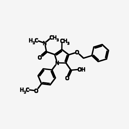 COc1ccc(-n2c(C(=O)N(C)C)c(C)c(OCc3ccccc3)c2C(=O)O)cc1